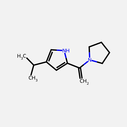 C=C(c1cc(C(C)C)c[nH]1)N1CCCC1